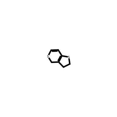 C1=CC2=C(CCS2)CS1